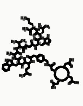 CSCC[C@H](NC(=O)[C@H](CC(C)C)NC(=O)[C@H](Cc1c[nH]cn1)NC(=O)CNC(=O)[C@@H](NC(=O)[C@H](C)NC(=O)[C@H](Cc1c[nH]c2ccccc12)NC(=O)C(CCC(N)=O)NC(=O)Cc1ccc(CNC(=O)CN2CCN(CC(=O)O)CCN(CC(=O)O)CCN(CC(=O)O)CC2)cc1)C(C)C)C(N)=O